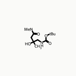 CNC(=O)CC(C)(O)CNC(=O)OC(C)(C)C